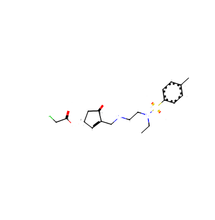 CCN(CCNCC1=C[C@H](OC(=O)CCl)CC1=O)S(=O)(=O)c1ccc(C)cc1